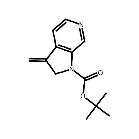 C=C1CN(C(=O)OC(C)(C)C)c2cnccc21